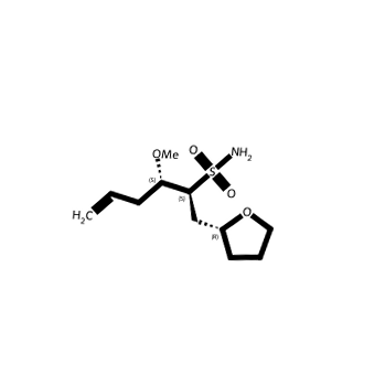 C=CC[C@H](OC)[C@H](C[C@H]1CCCO1)S(N)(=O)=O